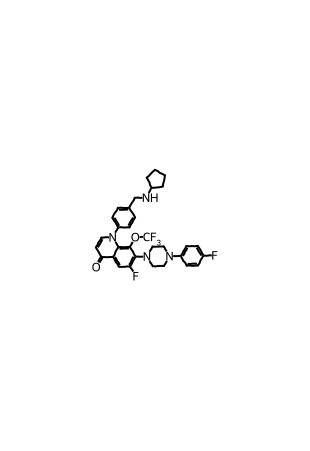 O=c1ccn(-c2ccc(CNC3CCCC3)cc2)c2c(OC(F)(F)F)c(N3CCN(c4ccc(F)cc4)CC3)c(F)cc12